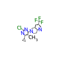 Cc1c(C2CC2)nc(Cl)nc1N1CCc2ncc(C(F)(F)F)cc2C1